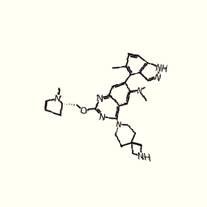 Cc1ccc2[nH]ncc2c1-c1cc2nc(OC[C@@H]3CCCN3C)nc(N3CCC4(CC3)CNC4)c2cc1N(C)C